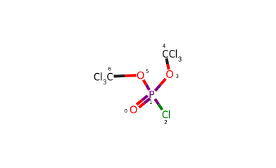 O=P(Cl)(OC(Cl)(Cl)Cl)OC(Cl)(Cl)Cl